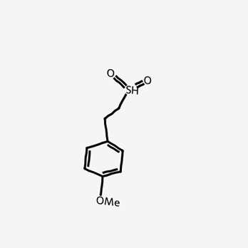 COc1ccc(CC[SH](=O)=O)cc1